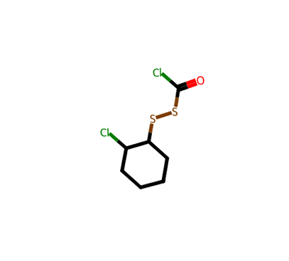 O=C(Cl)SSC1CCCCC1Cl